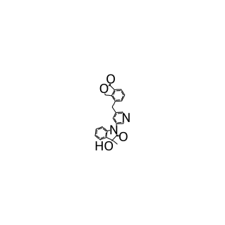 CC1(O)C(=O)N(c2cncc(Cc3cccc4c3COC4=O)c2)c2ccccc21